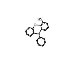 Sc1cccc2c1Oc1ccccc1N2c1ccccc1